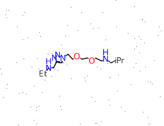 CCNCc1cn(CCOCCOCCNCC(C)C)nn1